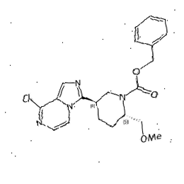 COC[C@@H]1CC[C@@H](c2ncc3c(Cl)nccn23)CN1C(=O)OCc1ccccc1